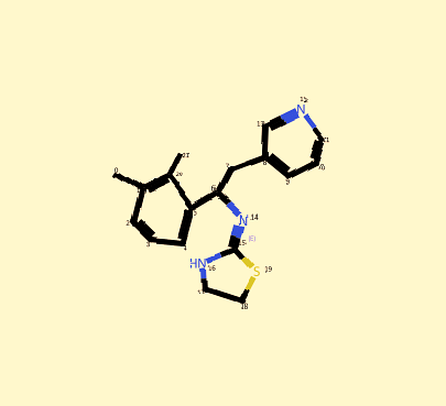 Cc1cccc(C(Cc2cccnc2)/N=C2\NCCS2)c1C